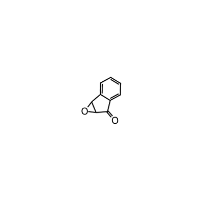 O=C1c2ccccc2C2OC12